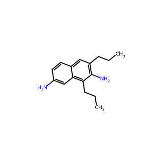 CCCc1cc2ccc(N)cc2c(CCC)c1N